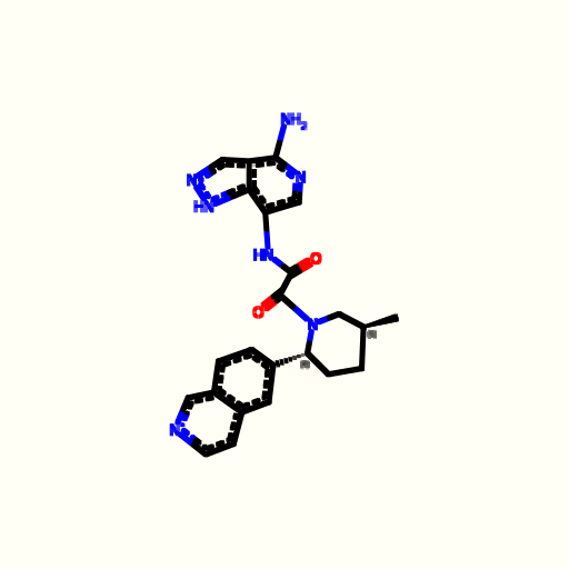 C[C@H]1CC[C@H](c2ccc3cnccc3c2)N(C(=O)C(=O)Nc2cnc(N)c3cn[nH]c23)C1